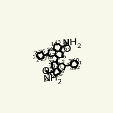 CC(Cc1c(-c2ccc3c(C(N)=O)cccc3c2CC(C)c2ccccc2)ccc2c(C(N)=O)cccc12)c1ccccc1